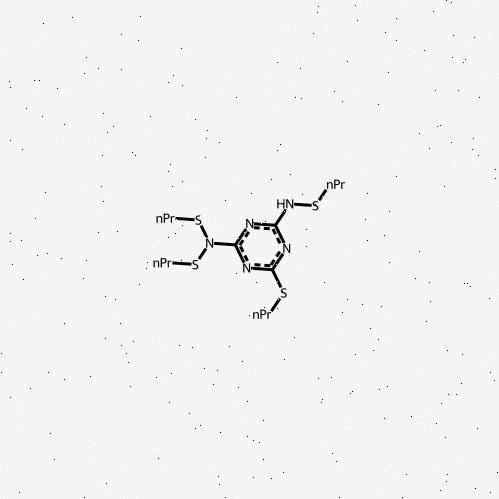 CCCSNc1nc(SCCC)nc(N(SCCC)SCCC)n1